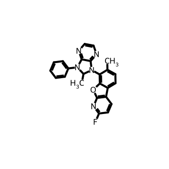 Cc1ccc2c(oc3nc(F)ccc32)c1N1c2nccnc2N(c2ccccc2)C1C